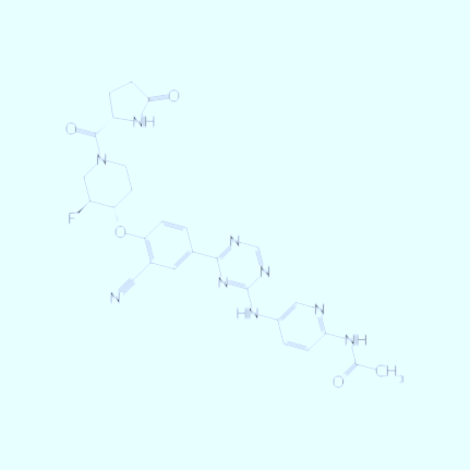 CC(=O)Nc1ccc(Nc2ncnc(-c3ccc(O[C@H]4CCN(C(=O)[C@@H]5CCC(=O)N5)C[C@@H]4F)c(C#N)c3)n2)cn1